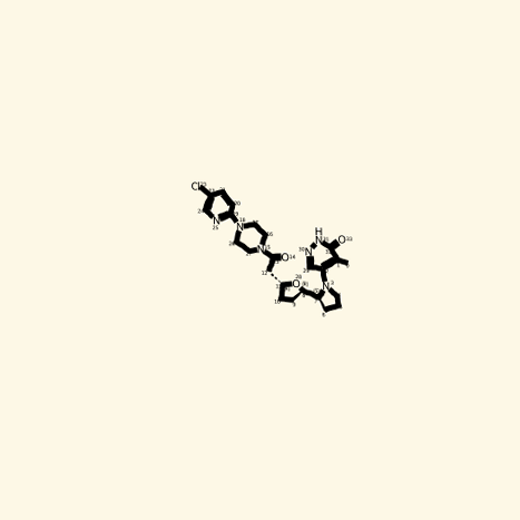 Cc1c(N2CCC[C@H]2[C@H]2CC[C@H](CC(=O)N3CCN(c4ccc(Cl)cn4)CC3)O2)cn[nH]c1=O